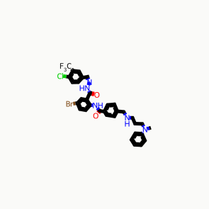 CN(CCCNCc1ccc(C(=O)Nc2ccc(Br)cc2C(=O)N/N=C\c2ccc(Cl)c(C(F)(F)F)c2)cc1)c1ccccc1